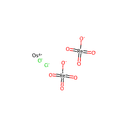 [Cl-].[Cl-].[O]=[Re](=[O])(=[O])[O-].[O]=[Re](=[O])(=[O])[O-].[Os+4]